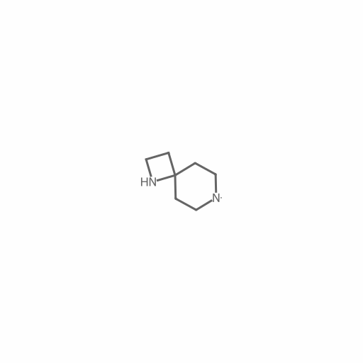 C1CC2(CC[N]1)CCN2